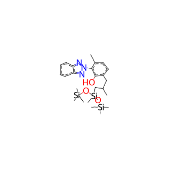 Cc1ccc(CC(C)C[Si](C)(O[Si](C)(C)C)O[Si](C)(C)C)c(O)c1-n1nc2ccccc2n1